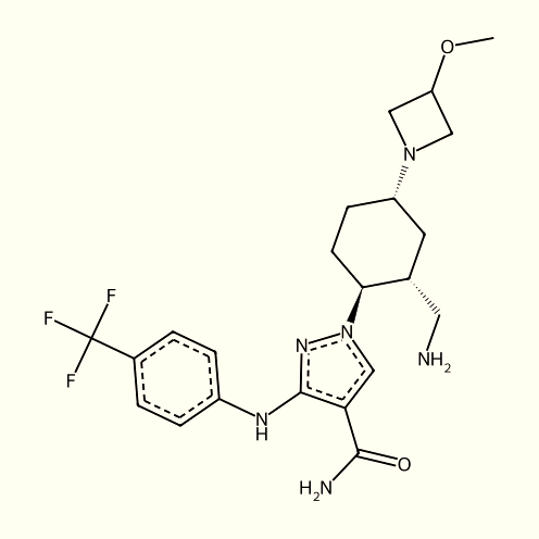 COC1CN([C@H]2CC[C@H](n3cc(C(N)=O)c(Nc4ccc(C(F)(F)F)cc4)n3)[C@@H](CN)C2)C1